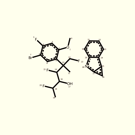 COc1cc(F)c(Br)cc1C(C)(CF)C(F)C(O)C(C)F.c1ccc2c3cc-3nc2c1